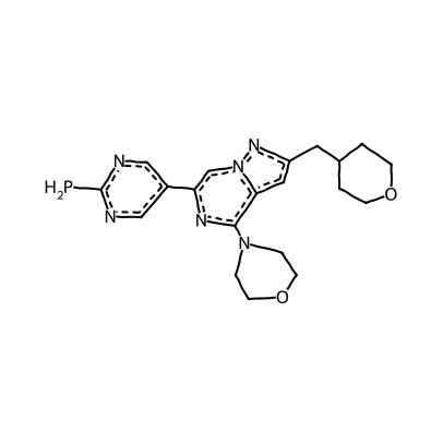 Pc1ncc(-c2cn3nc(CC4CCOCC4)cc3c(N3CCOCC3)n2)cn1